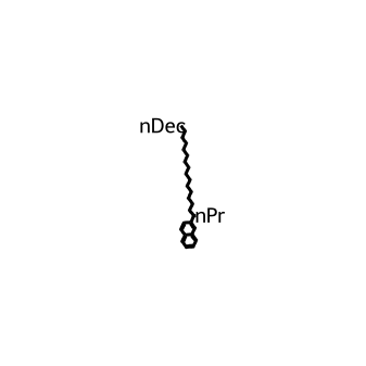 CCCCCCCCCCCCCCCCCCCCCCCCC(CCC)c1ccc2ccccc2c1